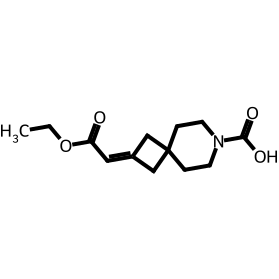 CCOC(=O)C=C1CC2(CCN(C(=O)O)CC2)C1